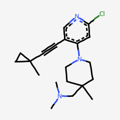 CN(C)CC1(C)CCN(c2cc(Cl)ncc2C#CC2(C)CC2)CC1